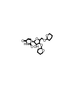 O=c1ccn(C2OC(COC3CCCCO3)C(OC3CCCCO3)C2O)c(=O)[nH]1